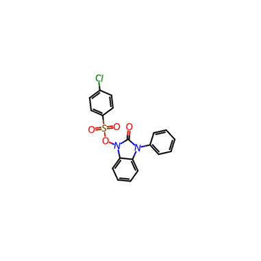 O=c1n(OS(=O)(=O)c2ccc(Cl)cc2)c2ccccc2n1-c1ccccc1